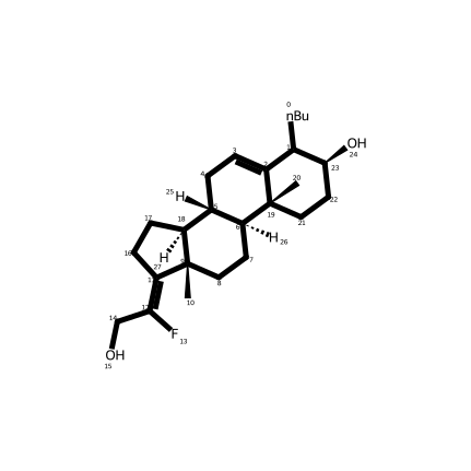 CCCCC1C2=CC[C@@H]3[C@H](CC[C@]4(C)C(=C(F)CO)CC[C@@H]34)[C@@]2(C)CC[C@@H]1O